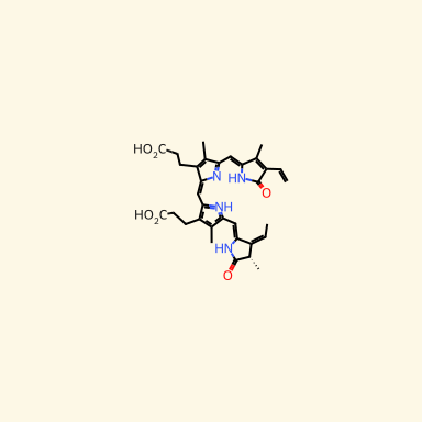 C=CC1=C(C)/C(=C/C2=NC(=C\c3[nH]c(/C=C4\NC(=O)[C@@H](C)\C4=C\C)c(C)c3CCC(=O)O)/C(CCC(=O)O)=C2C)NC1=O